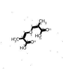 CC(=COC=C(C)C(=O)O)C(=O)O